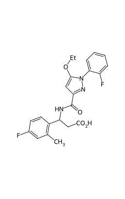 CCOc1cc(C(=O)NC(CC(=O)O)c2ccc(F)cc2C)nn1-c1ccccc1F